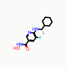 C[C@H](Nc1ncc(C(=O)NO)cc1F)C1CCCCC1